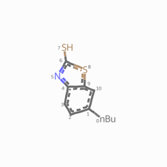 CCCCc1ccc2nc(S)sc2c1